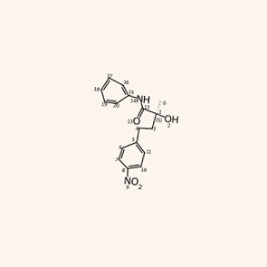 C[C@](O)(CCc1ccc([N+](=O)[O-])cc1)C(=O)Nc1ccccc1